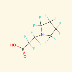 O=C(O)C(F)(F)C(F)(F)N1C(F)(F)C(F)(F)C(F)(F)C1(F)F